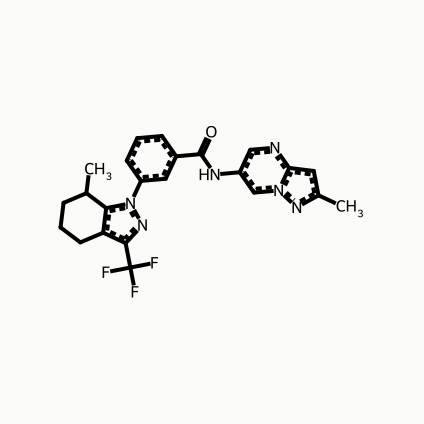 Cc1cc2ncc(NC(=O)c3cccc(-n4nc(C(F)(F)F)c5c4C(C)CCC5)c3)cn2n1